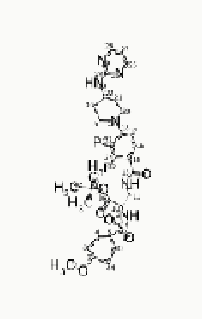 COc1ccc(S(=O)(=O)N[C@@H](CNC(=O)c2ccc(N3CCC(Nc4ncccn4)CC3)c(F)c2F)C(=O)OC(C)(C)C)cc1